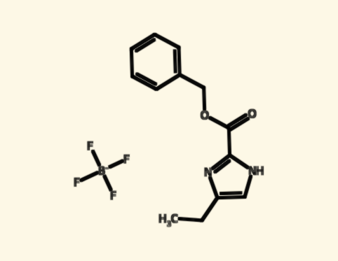 CCc1c[nH]c(C(=O)OCc2ccccc2)n1.F[B-](F)(F)F